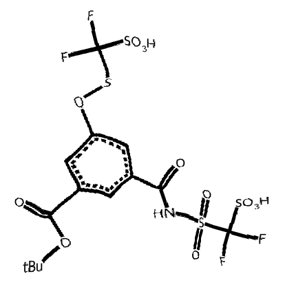 CC(C)(C)OC(=O)c1cc(OSC(F)(F)S(=O)(=O)O)cc(C(=O)NS(=O)(=O)C(F)(F)S(=O)(=O)O)c1